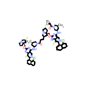 C=CC(=O)N1C[C@@H](C)C[C@@H](Nc2nc(OC[C@@]34CC(/C=C/C(=O)N5C[C@H](C)C[C@H](Nc6nc(OC[C@@]78CCCN7C[C@H](F)C8)nc7c(F)c(-c8cccc9cccc(Cl)c89)ncc67)C5)CN3C[C@H](F)C4)nc3c(F)c(-c4cccc5cccc(Cl)c45)ncc23)C1